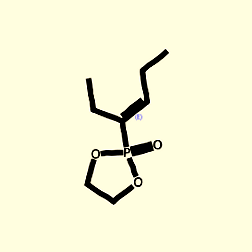 CC/C=C(\CC)P1(=O)OCCO1